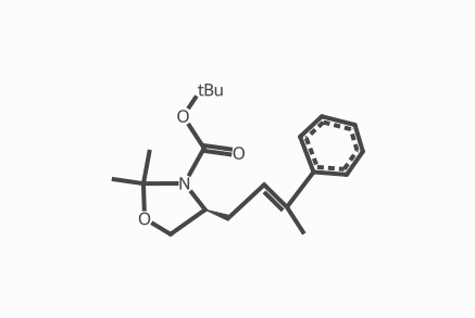 C/C(=C\C[C@H]1COC(C)(C)N1C(=O)OC(C)(C)C)c1ccccc1